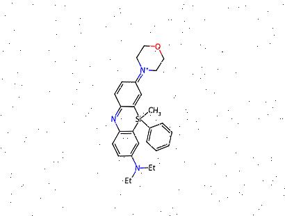 CCN(CC)c1ccc2c(c1)[Si](C)(c1ccccc1)C1=CC(=[N+]3CCOCC3)C=CC1=N2